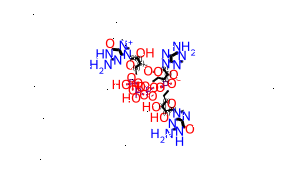 COC[C@H]1[C@@H](O)[C@H](n2c[n+](C)c3c(=O)[nH]c(N)nc32)O[C@@H]1COP(=O)(O)OP(=O)(O)OP(=O)(O)OCC1O[C@@H](n2cnc3c(N)ncnc32)[C@H](OC)[C@@H]1P(=O)([O-])CC[C@H]1O[C@@H](n2cnc3c(=O)[nH]c(N)nc32)[C@H](O)[C@@H]1O